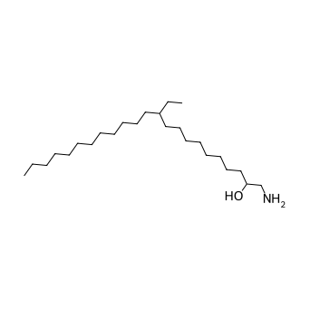 CCCCCCCCCCCCC(CC)CCCCCCCCC(O)CN